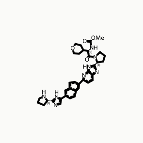 COC(=O)N[C@H](C(=O)N1CCC[C@H]1c1nc2ccc(-c3ccc4cc(-c5cnc([C@@H]6CCCN6)[nH]5)ccc4c3)nc2[nH]1)C1CCOCC1